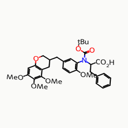 COc1ccc(CC2COc3cc(OC)c(OC)c(OC)c3C2)cc1N(C(=O)OC(C)(C)C)C(Cc1ccccc1)C(=O)O